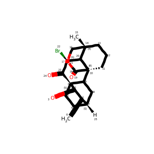 C=C1C(=O)[C@]23CC[C@H]1CC2[C@@]12CCC[C@@](C)(COC1=O)C2[C@H](Br)C3=O